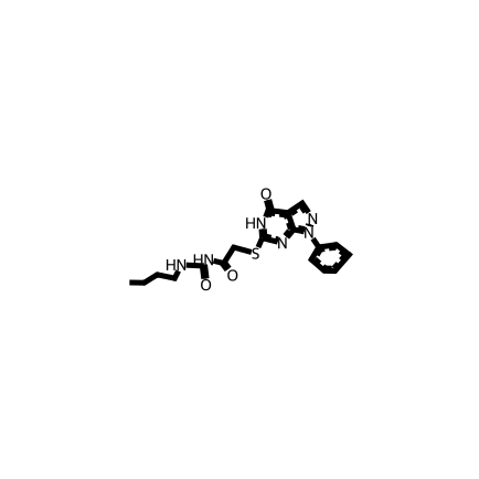 CCCCNC(=O)NC(=O)CSc1nc2c(cnn2-c2ccccc2)c(=O)[nH]1